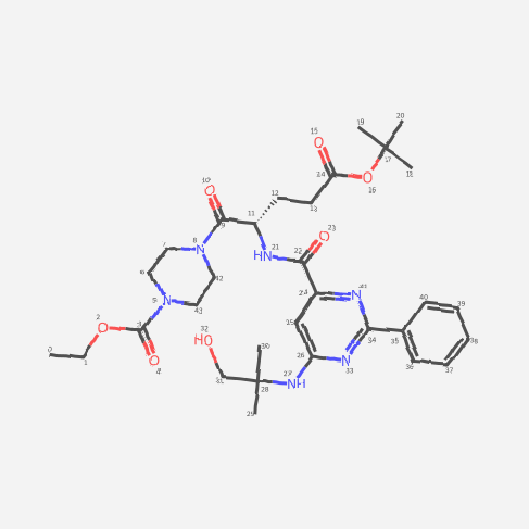 CCOC(=O)N1CCN(C(=O)[C@H](CCC(=O)OC(C)(C)C)NC(=O)c2cc(NC(C)(C)CO)nc(-c3ccccc3)n2)CC1